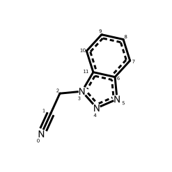 N#CCn1nnc2ccccc21